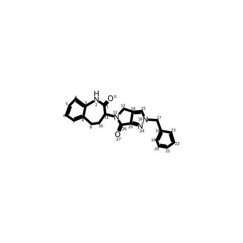 O=C1Nc2ccccc2CCC1N1Cc2cn(Cc3ccccc3)nc2C1=O